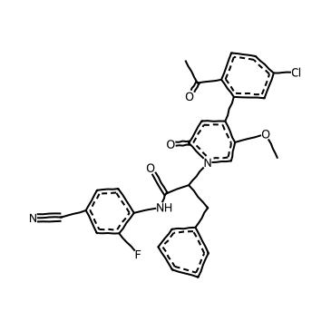 COc1cn(C(Cc2ccccc2)C(=O)Nc2ccc(C#N)cc2F)c(=O)cc1-c1cc(Cl)ccc1C(C)=O